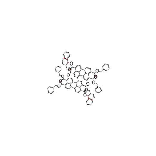 O=C(OCc1ccccc1)c1ccc2c3ccc(C(=O)OCc4ccccc4)c4c(C(=O)OCc5ccccc5)cc(-c5cc(C(=O)OCc6ccccc6)c6c(C(=O)OCc7ccccc7)ccc7c8ccc(C(=O)OCc9ccccc9)c9c(C(=O)OCc%10ccccc%10)ccc(c5c67)c98)c(c5ccc(C(=O)OCc6ccccc6)c1c25)c43